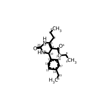 CCCC1=C(C(=O)OCC)C(c2ccc(CC)cc2)NC(=O)N1